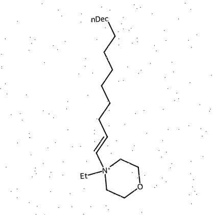 CCCCCCCCCCCCCCCCC=C[N+]1(CC)CCOCC1